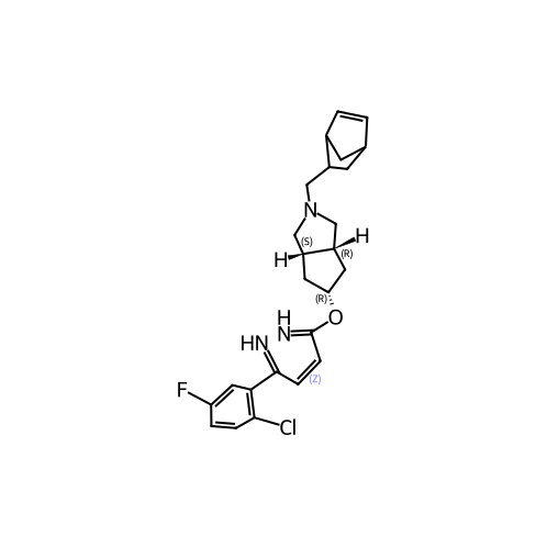 N=C(/C=C\C(=N)c1cc(F)ccc1Cl)O[C@@H]1C[C@@H]2CN(CC3CC4C=CC3C4)C[C@@H]2C1